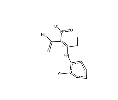 CC/C(Nc1ccccc1Cl)=C(/C(=O)O)[N+](=O)[O-]